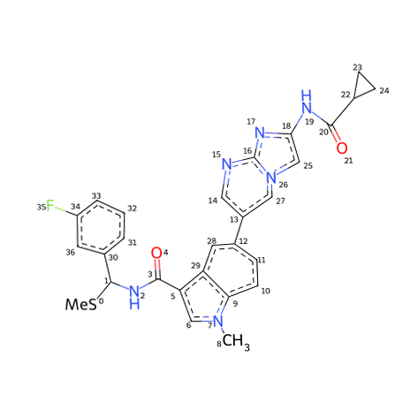 CSC(NC(=O)c1cn(C)c2ccc(-c3cnc4nc(NC(=O)C5CC5)cn4c3)cc12)c1cccc(F)c1